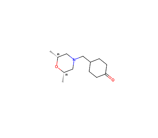 C[C@@H]1CN(CC2CCC(=O)CC2)C[C@H](C)O1